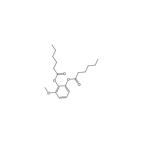 CCCCCC(=O)Oc1cccc(OC)c1OC(=O)CCCCC